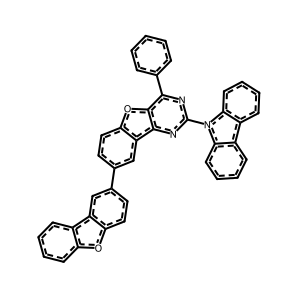 c1ccc(-c2nc(-n3c4ccccc4c4ccccc43)nc3c2oc2ccc(-c4ccc5oc6ccccc6c5c4)cc23)cc1